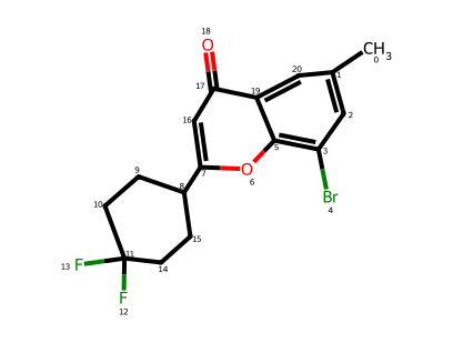 Cc1cc(Br)c2oc(C3CCC(F)(F)CC3)cc(=O)c2c1